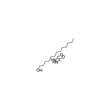 CCCCCCCCCCCCCO.N=C=O.N=C=O